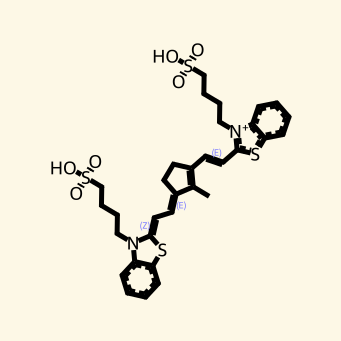 CC1=C(/C=C/c2sc3ccccc3[n+]2CCCCS(=O)(=O)O)CC/C1=C\C=C1/Sc2ccccc2N1CCCCS(=O)(=O)O